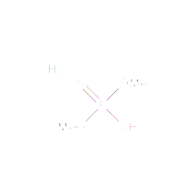 COP(O)(=S)OC.Cl